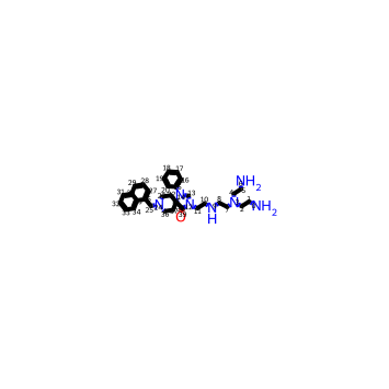 NCCN(CCN)CCNCCN1CN(c2ccccc2)C2(CCN(Cc3cccc4ccccc34)CC2)C1=O